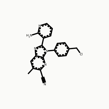 Cc1cc2nc(-c3cccnc3N)n(-c3ccc(CCl)cc3)c2nc1C#N